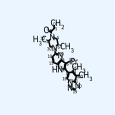 C=CC(=O)N1C[C@H](C)N(c2ccc3[nH]c(-c4cn5ncnc5c(C)c4C)c(C(C)C)c3n2)C[C@H]1C